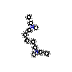 C1=CCCC(N(c2ccc(-c3ccccc3)cc2)c2ccc(-c3cccc(-c4cccc(-c5cccc(-c6ccc(N(c7ccc(-c8ccccc8)cc7)C7C=CC=CC7)cc6)c5)c4)c3)cc2)=C1